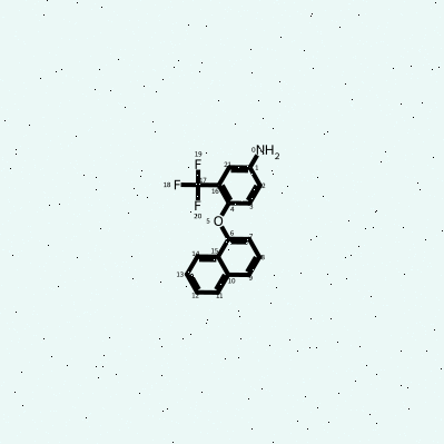 Nc1ccc(Oc2cccc3ccccc23)c(C(F)(F)F)c1